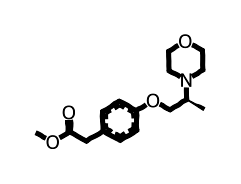 COC(=O)Cc1ccc(OC[C@H](C)N2CCOCC2)cc1